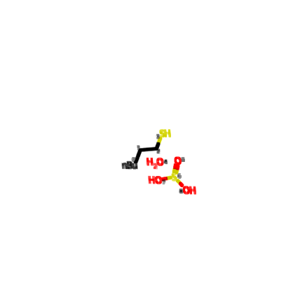 CCCCCCS.O.O=S(O)O